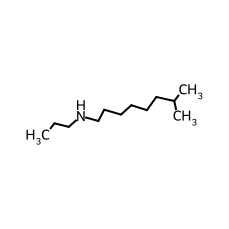 CCCNCCCCCCC(C)C